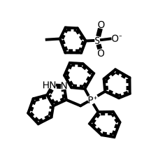 Cc1ccc(S(=O)(=O)[O-])cc1.c1ccc([P+](Cc2n[nH]c3ccccc23)(c2ccccc2)c2ccccc2)cc1